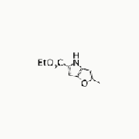 CCOC(=O)c1cc2oc(C)cc2[nH]1